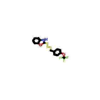 FC(F)(F)Oc1ccc(CSSSC2Nc3ccccc3O2)cc1